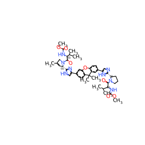 COC(=O)N[C@H](C(=O)N1CC(C)=C[C@H]1c1nc(-c2ccc3c(c2)Oc2ccc(-c4cnc([C@@H]5CCCN5C(=O)[C@@H](NC(=O)OC)C(C)C)[nH]4)cc2C3(C)C)c[nH]1)C(C)C